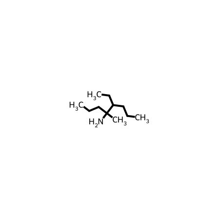 CCCC(CC)C(C)(N)CCC